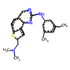 Cc1cc(C)cc(Nc2ncc3ccc4sc(CN(C)C)cc4c3n2)c1